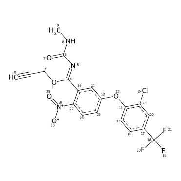 C#CCOC(=NC(=O)NC)c1cc(Oc2ccc(C(F)(F)F)cc2Cl)ccc1[N+](=O)[O-]